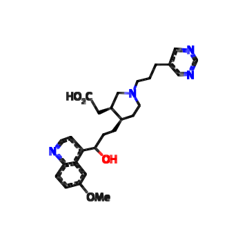 COc1ccc2nccc(C(O)CC[C@@H]3CCN(CCCc4cncnc4)C[C@@H]3CC(=O)O)c2c1